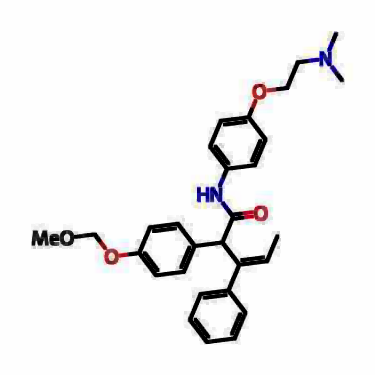 CC=C(c1ccccc1)C(C(=O)Nc1ccc(OCCN(C)C)cc1)c1ccc(OCOC)cc1